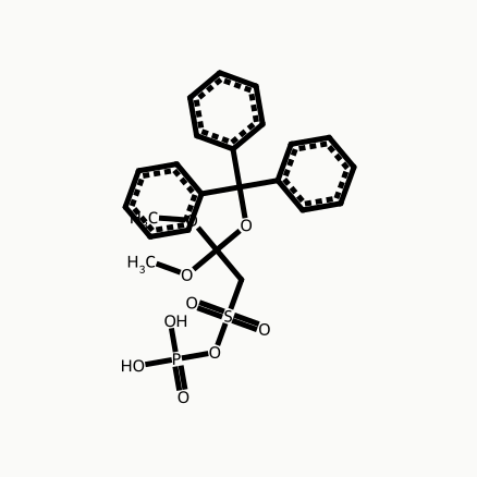 COC(CS(=O)(=O)OP(=O)(O)O)(OC)OC(c1ccccc1)(c1ccccc1)c1ccccc1